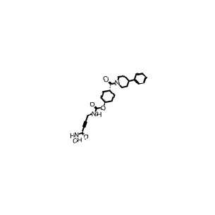 O=C(C#CCNC(=O)O[C@H]1CC[C@H](C(=O)N2CCC(c3ccccc3)CC2)CC1)NO